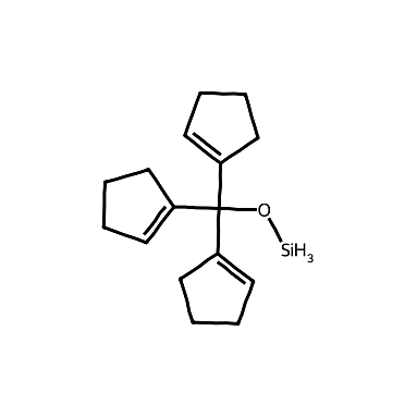 [SiH3]OC(C1=CCCC1)(C1=CCCC1)C1=CCCC1